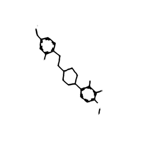 CCOc1ccc(C2CCC(CCc3ccc(CO)cc3F)CC2)c(F)c1F